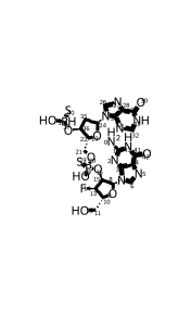 Nc1nc2c(ncn2[C@@H]2O[C@H](CO)[C@@H](F)[C@H]2OP(O)(=S)OC[C@H]2O[C@@H](n3cnc4c(=O)[nH]cnc43)C[C@@H]2O[PH](O)=S)c(=O)[nH]1